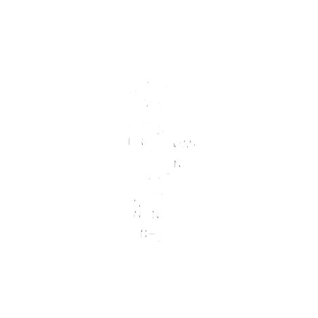 COc1ncc(-c2ccn3nc(N)nc3c2)cc1C(=O)NC(C)CCc1ccccc1